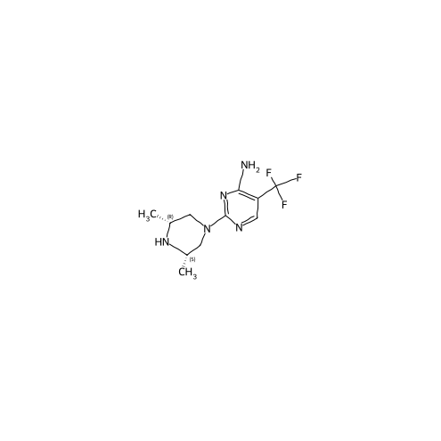 C[C@@H]1CN(c2ncc(C(F)(F)F)c(N)n2)C[C@H](C)N1